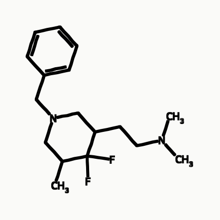 CC1CN(Cc2ccccc2)CC(CCN(C)C)C1(F)F